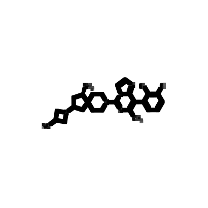 Cc1nc(N2CCC3(CC2)CC(N2CC(C#N)C2)C[C@H]3N)n2ccnc2c1-c1cccc(Cl)c1Cl